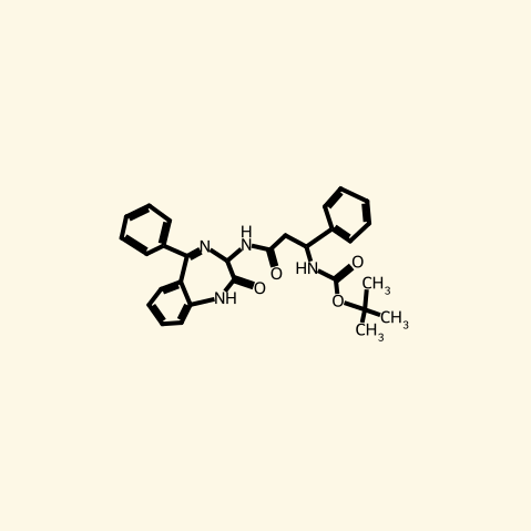 CC(C)(C)OC(=O)NC(CC(=O)NC1N=C(c2ccccc2)c2ccccc2NC1=O)c1ccccc1